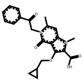 Cc1cc2c(c(OCC3CC3)c(C(=O)O)n2C)c(=O)n1CC(=O)c1ccccc1